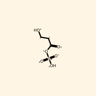 O=C(CCO)OS(=O)(=O)O